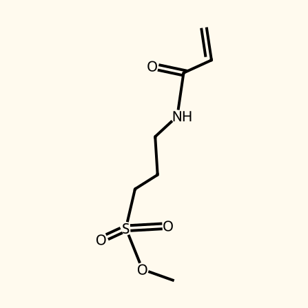 C=CC(=O)NCCCS(=O)(=O)OC